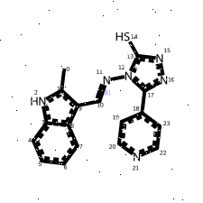 Cc1[nH]c2ccccc2c1/C=N/n1c(S)nnc1-c1ccncc1